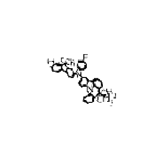 CC1(C)c2ccccc2-c2ccc(N(c3ccc(F)cc3)c3ccc4c(c3)c3cccc5c3n4-c3ccccc3C5(C)C)cc21